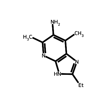 CCc1nc2c(C)c(N)c(C)nc2[nH]1